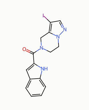 O=C(c1cc2ccccc2[nH]1)N1CCn2ncc(I)c2C1